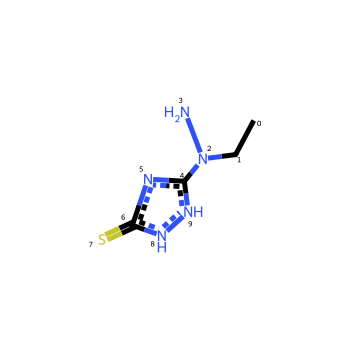 CCN(N)c1nc(=S)[nH][nH]1